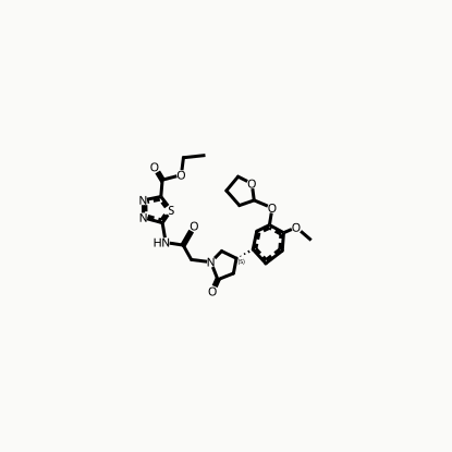 CCOC(=O)c1nnc(NC(=O)CN2C[C@H](c3ccc(OC)c(OC4CCCO4)c3)CC2=O)s1